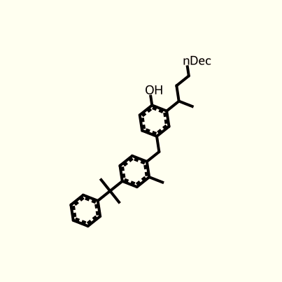 CCCCCCCCCCCCC(C)c1cc(Cc2ccc(C(C)(C)c3ccccc3)cc2C)ccc1O